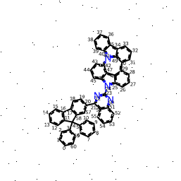 c1ccc(C2(c3ccccc3)c3ccccc3-c3ccc(-c4nc(-n5c6cccc7c8cccc9c%10ccccc%10n(c%10cccc5c%10c76)c89)nc5ccccc45)cc32)cc1